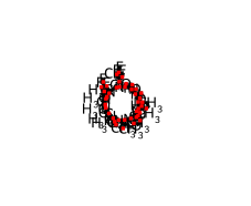 CCC[C@H]1C(=O)N[C@@H]([C@@H](C)CC)C(=O)N(C)CC(=O)N(C)CC(=O)N(C)[C@@H](Cc2ccc(C(F)(F)F)cc2)C(=O)N(C)CC(=O)N[C@@H](CCc2ccc(C(F)(F)F)c(Cl)c2)C(=O)N2CCC[C@H]2C(=O)NC2(CCCC2)C(=O)N(C)[C@@H](C2CCCCC2)C(=O)N(C)[C@H](C(=O)N2C3CCC2COC3)CC(=O)N1C